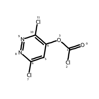 O=C(Cl)Oc1cc(Cl)nnc1Cl